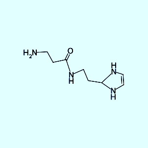 NCCC(=O)NCCC1NC=CN1